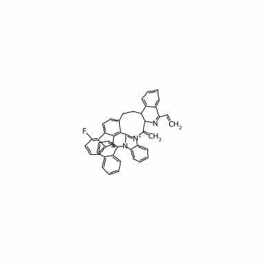 C=CC1=NC2C(=C)[n+]3c(n(-c4cccc5ccccc45)c4ccccc43)-c3c(ccc4c3sc3cccc(F)c34)CCC2c2ccccc21